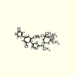 CN(c1nnc(-c2c(O)cc(-c3cn[nH]c3)cc2Cl)s1)C1CC(C)(C)NC(C)(C)C1